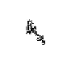 CCC(C)C(NC(=O)[C@H]1CCCCN1C)C(=O)NCCCc1nc(C=O)cs1